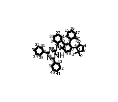 CC1(C)C=CC2=C1c1ccc3c(c1-c1ccccc1S2)c1ccccc1n3C1=NC(c2ccccc2)=NC(c2ccccc2)N1